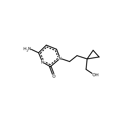 Nc1ccn(CCC2(CO)CC2)c(=O)n1